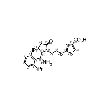 CC(C)c1cccc(C(C)C)c1C(N)[C@H]1CCC(=O)N1CCSc1nc(C(=O)O)cs1